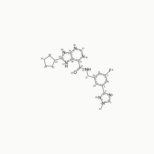 Cn1cnc(-c2cc(F)cc(CNC(=O)c3ncnc4nc(C5CCCC5)[nH]c34)c2)n1